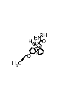 CC#CCOc1ccc(S(=O)(=O)C(C)(Cc2cccnc2)C(=O)NO)cc1